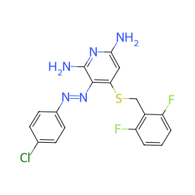 Nc1cc(SCc2c(F)cccc2F)c(/N=N/c2ccc(Cl)cc2)c(N)n1